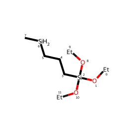 CCO[Si](CCC[SiH2]C)(OCC)OCC